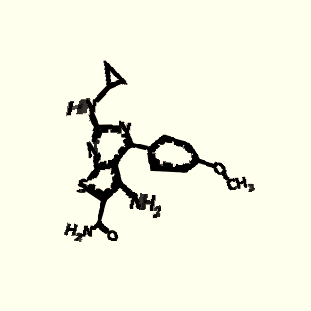 COc1ccc(-c2nc(NC3CC3)nc3sc(C(N)=O)c(N)c23)cc1